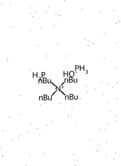 CCCC[N+](CCCC)(CCCC)CCCC.P.P.[OH-]